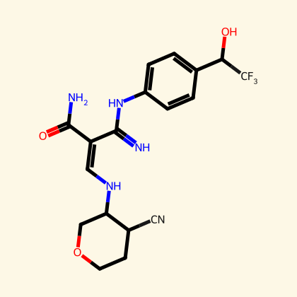 N#CC1CCOCC1N/C=C(\C(=N)Nc1ccc(C(O)C(F)(F)F)cc1)C(N)=O